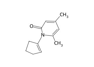 Cc1cc(C)n(C2=CCCC2)c(=O)c1